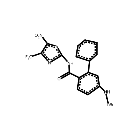 CCCCNc1ccc(C(=O)Nc2nc(C(F)(F)F)c([N+](=O)[O-])s2)c(-c2ccccc2)c1